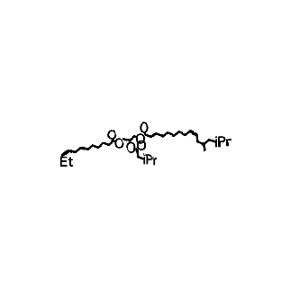 CC/C=C\CCCCCCCC(=O)OCC(COC(=O)CCCCCCC/C=C\CC(C)CC(C)C)OC(=O)CC(C)C